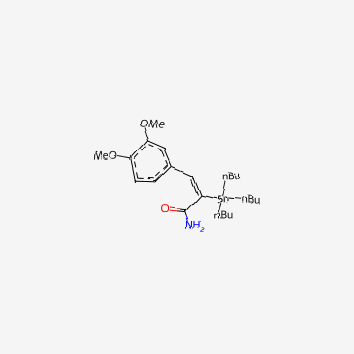 CCC[CH2][Sn]([CH2]CCC)([CH2]CCC)/[C](=C/c1ccc(OC)c(OC)c1)C(N)=O